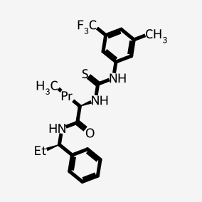 CC[C@@H](NC(=O)[C@H](NC(=S)Nc1cc(C)cc(C(F)(F)F)c1)[Pr][CH3])c1ccccc1